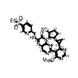 CCS(=O)(=O)c1ccc(CNc2nc3cnc(-c4c(OC)ncnc4C4CC4)nc3n([C@H]3CCCC3C#N)c2=O)nc1